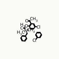 CC(=O)c1cc(Cl)ccc1OC(C)[N+](C)(C)Cc1ccccc1.Clc1ccccc1